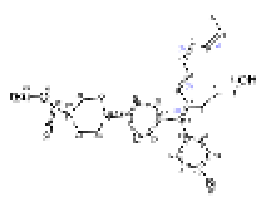 C\C=C/C=C\C=C\C(CCCO)=C(\c1ccc(Br)cc1)c1ccc(N2CCN(C(=O)OC(C)(C)C)CC2)cc1